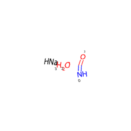 N=O.O.[NaH]